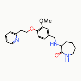 COc1cc(CNC2CCCCNC2=O)ccc1OCCc1ccccn1